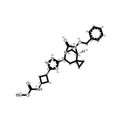 CC(C)(C)OC(=O)N[C@H]1C[C@@H](c2nnc([C@@H]3CC4(CC4)[C@H]4CN3C(=O)N4OCc3ccccc3)o2)C1